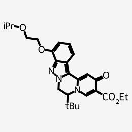 CCOC(=O)c1cn2c(cc1=O)-c1c3cccc(OCCOC(C)C)c3nn1CC2C(C)(C)C